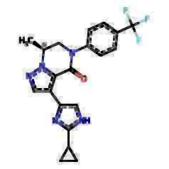 C[C@H]1CN(c2ccc(C(F)(F)F)cc2)C(=O)c2c(-c3c[nH]c(C4CC4)n3)cnn21